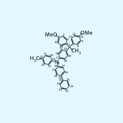 COc1ccc(C(C)(c2ccc(OC)cc2)c2ccc(N(c3ccc(C)cc3)c3ccc(-c4ccccc4)cc3)cc2)cc1